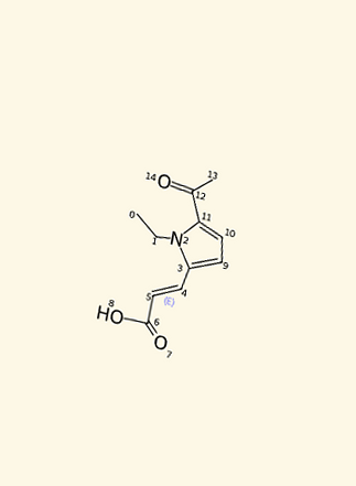 CCn1c(/C=C/C(=O)O)ccc1C(C)=O